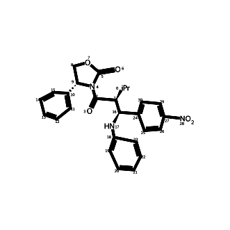 CC(C)[C@H](C(=O)N1C(=O)OC[C@H]1c1ccccc1)[C@H](Nc1ccccc1)c1ccc([N+](=O)[O-])cc1